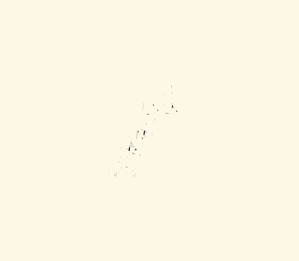 O=S(=O)(c1ccc(Nc2ccnc3cc(C(F)(F)F)ccc23)cc1)N1CCN(S(=O)(=O)c2ccc(Br)c(Br)c2)CC1